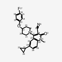 Cn1c(=O)c(C#N)c(N2CCC(Oc3ccc(F)cc3)CC2)c2cc(C3CC3)ccc21